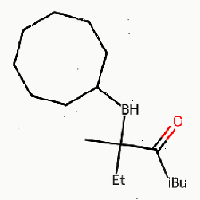 CCC(C)C(=O)C(C)(BC1CCCCCCC1)CC